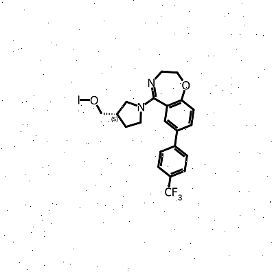 FC(F)(F)c1ccc(-c2ccc3c(c2)C(N2CC[C@H](COI)C2)=NCCO3)cc1